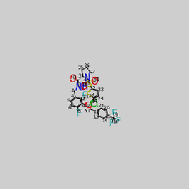 O=C(NCc1ccc(F)c(OCc2ccc(C(F)(F)F)cc2)c1F)[C@@H]1CCCN1S(=O)(=O)c1ccc(Cl)s1